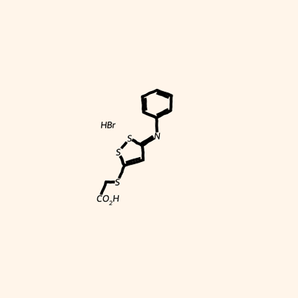 Br.O=C(O)CSc1cc(=Nc2ccccc2)ss1